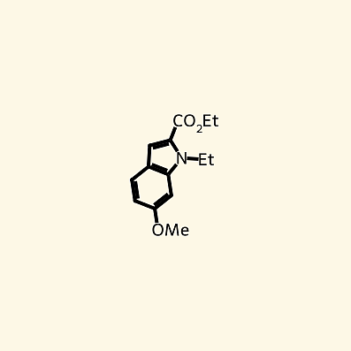 CCOC(=O)c1cc2ccc(OC)cc2n1CC